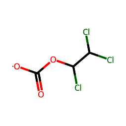 [O]C(=O)OC(Cl)C(Cl)Cl